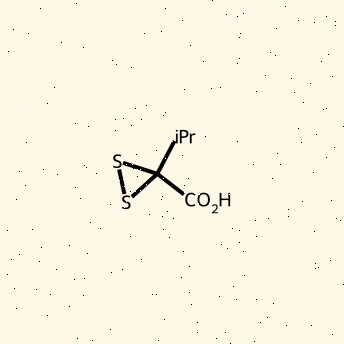 CC(C)C1(C(=O)O)SS1